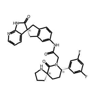 O=C(CN1C(=O)[C@@]2(CCCN2)CC[C@H]1c1cc(F)cc(F)c1)Nc1ccc2c(c1)C[C@@]1(C2)C(=O)Nc2ncccc21